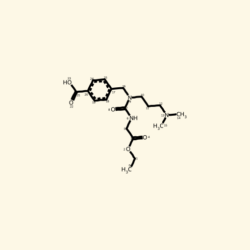 CCOC(=O)CNC(=O)N(CCCN(C)C)Cc1ccc(C(=O)O)cc1